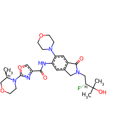 C[C@@H]1COCCN1c1nc(C(=O)Nc2cc3c(cc2N2CCOCC2)C(=O)N(C[C@@H](F)C(C)(C)O)C3)co1